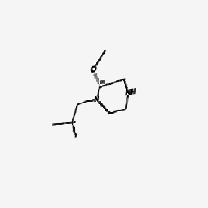 CO[C@@H]1CNCCN1C[C](C)C